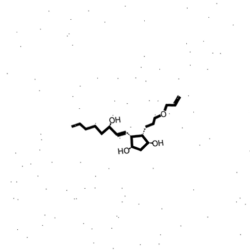 C=CCOCCC[C@H]1[C@@H](C=C[C@@H](O)CCCCC)[C@@H](O)C[C@H]1O